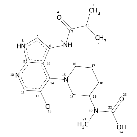 CC(C)C(=O)Nc1c[nH]c2ncc(Cl)c(N3CCCC(N(C)C(=O)O)C3)c12